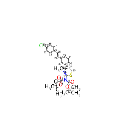 CC(C)(C)OC(=O)N(C(=O)OC(C)(C)C)C1=NC(C)(c2cccc(/C=C/c3ccc(Cl)cc3)c2)CCS1